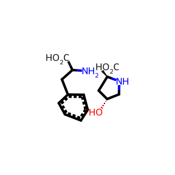 NC(Cc1ccccc1)C(=O)O.O=C(O)[C@@H]1C[C@@H](O)CN1